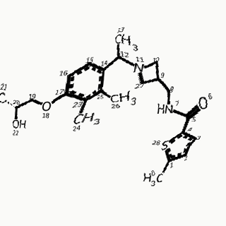 Cc1ccc(C(=O)NCC2CN(C(C)c3ccc(OC[C@@H](C)O)c(C)c3C)C2)s1